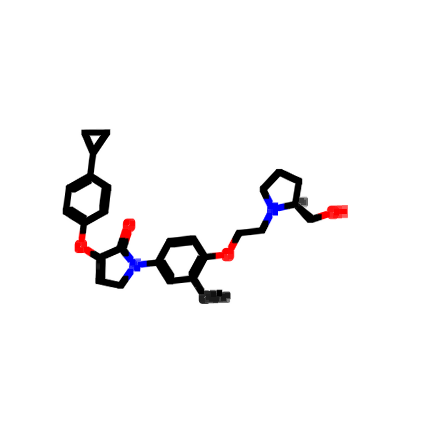 COc1cc(N2CC=C(Oc3ccc(C4CC4)cc3)C2=O)ccc1OCCN1CCC[C@H]1CO